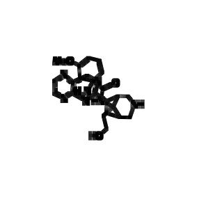 COC1=CC=CC(N)(C(=O)NC2(CCO)C3CNCC2C(c2ncc4nccnc4n2)C3)C1